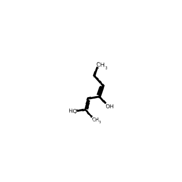 CC/C=C(O)\C=C(/C)O